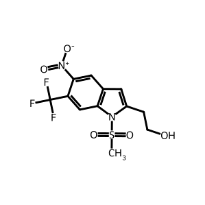 CS(=O)(=O)n1c(CCO)cc2cc([N+](=O)[O-])c(C(F)(F)F)cc21